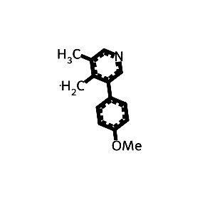 [CH2]c1c(C)cncc1-c1ccc(OC)cc1